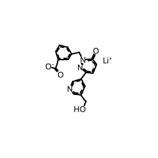 O=C([O-])c1cccc(Cn2nc(-c3cncc(CO)c3)ccc2=O)c1.[Li+]